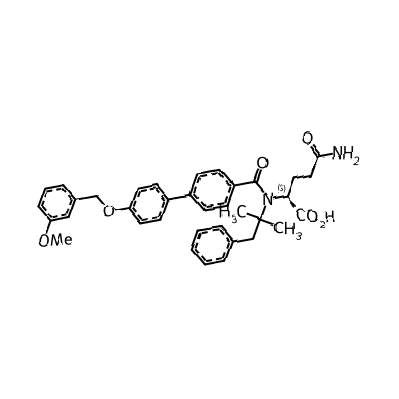 COc1cccc(COc2ccc(-c3ccc(C(=O)N([C@@H](CCC(N)=O)C(=O)O)C(C)(C)Cc4ccccc4)cc3)cc2)c1